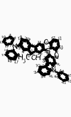 CC1(C)c2cc(N(c3ccccc3)c3ccccc3)ccc2-c2cc3c(cc21)B1c2cc4c5ccccc5n(-c5ccccc5)c4cc2Oc2cccc(c21)O3